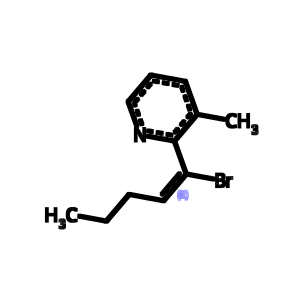 CCC/C=C(/Br)c1ncccc1C